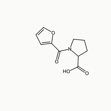 O=C(O)C1CCCN1C(=O)c1ccco1